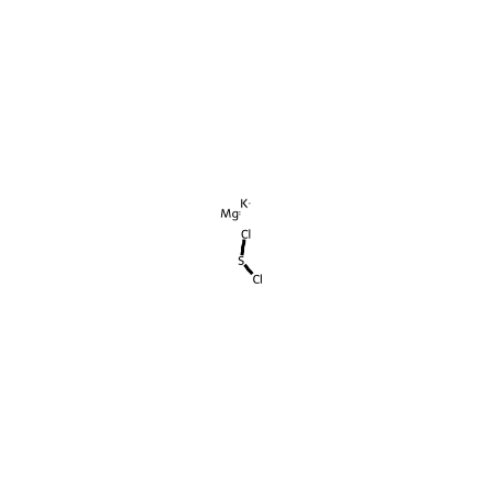 ClSCl.[K].[Mg]